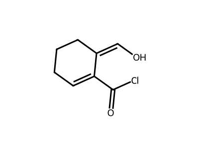 O=C(Cl)C1=CCCC/C1=C/O